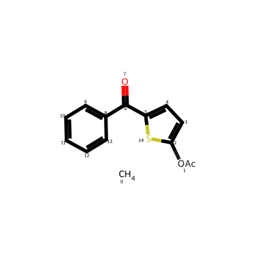 C.CC(=O)Oc1ccc(C(=O)c2ccccc2)s1